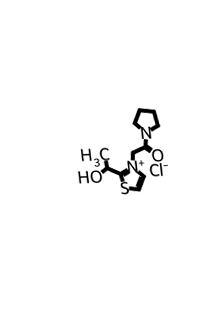 CC(O)c1scc[n+]1CC(=O)N1CCCC1.[Cl-]